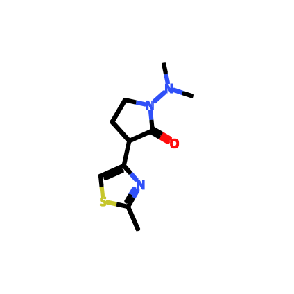 Cc1nc(C2CCN(N(C)C)C2=O)cs1